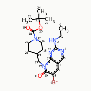 CCNc1ncc2cc(Br)c(=O)n(CC3CCN(C(=O)OC(C)(C)C)CC3)c2n1